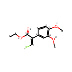 CCOC(=O)C(=CF)c1ccc(OC)c(OC)c1